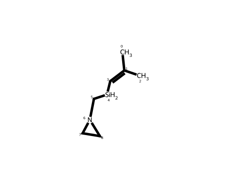 CC(C)=C[SiH2]CN1CC1